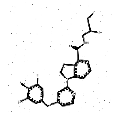 O=C(NCC(O)CF)c1cccc2c1CCN2c1cc(Cc2cc(F)c(F)c(F)c2)ccn1